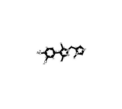 Cc1nn(Cc2cncn2C)c(C)c1-c1ccc(C#N)c(Cl)c1